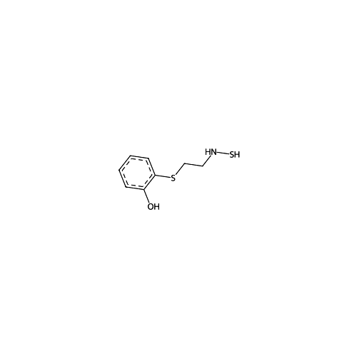 Oc1ccccc1SCCNS